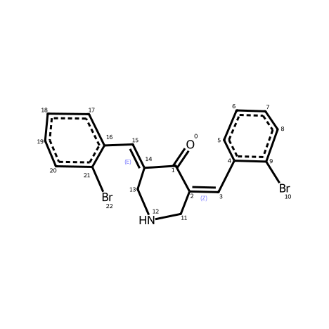 O=C1/C(=C\c2ccccc2Br)CNC/C1=C\c1ccccc1Br